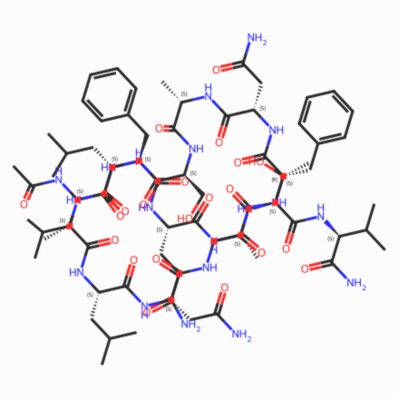 CC(=O)N[C@@H](CC(C)C)C(=O)N[C@@H](Cc1ccccc1)C(=O)N[C@@H](CCC(N)=O)C(=O)N[C@@H](C)C(=O)N[C@@H](Cc1ccccc1)C(=O)N[C@@H](CC(N)=O)C(=O)N[C@@H](C)C(=O)N[C@@H](CO)C(=O)N[C@@H](CC(C)C)C(=O)N[C@@H](C)C(=O)N[C@@H](CC(C)C)C(=O)N[C@@H](CC(N)=O)C(=O)NCC(=O)N[C@H](C(=O)N[C@H](C(N)=O)C(C)C)[C@@H](C)O